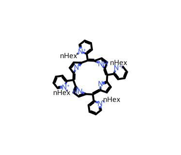 CCCCCC[n+]1ccccc1-c1c2nc(c(-c3cccc[n+]3CCCCCC)c3ccc([nH]3)c(-c3cccc[n+]3CCCCCC)c3nc(c(-c4cccc[n+]4CCCCCC)c4ccc1[nH]4)C=C3)C=C2